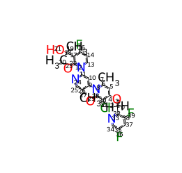 [2H]C([2H])(Oc1cc(C)n(-c2cc(-n3ccc(F)c(C(C)(C)O)c3=O)ncc2C)c(=O)c1Cl)c1ncc(F)cc1F